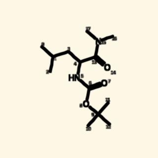 CC(C)CC(NC(=O)OC(C)(C)C)C(=O)N(C)C